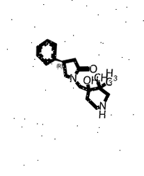 CC1(C)CNCCC1(O)CN1C[C@@H](c2ccccc2)CC1=O